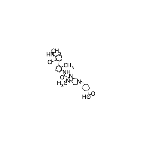 CNc1cccc(-c2cccc(NC(=O)c3nc4c(n3C)CCN(C[C@H]3CC[C@@H](C(=O)O)CC3)C4)c2C)c1Cl